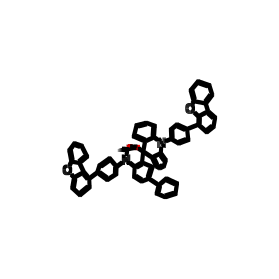 c1ccc(-c2ccc3c(c2)C2(c4ccccc4N(c4ccc(-c5cccc6c5oc5ccccc56)cc4)c4ccccc42)c2ccccc2N3c2ccc(-c3cccc4oc5ccccc5c34)cc2)cc1